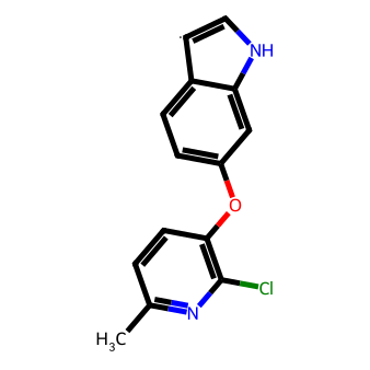 Cc1ccc(Oc2ccc3[c]c[nH]c3c2)c(Cl)n1